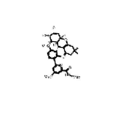 CCN1C(=O)[C@H]2[C@H](C[C@H]1C(C)C)OC1=C(C(=O)CC(C)(C)C1)[C@@H]2c1c(OC)ccc(-c2cc(OC)cc(C(=O)NOC)n2)c1C